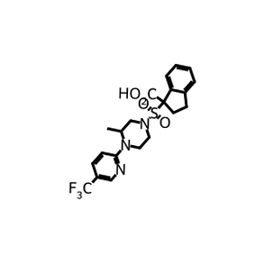 CC1CN(S(=O)(=O)C2(C(=O)O)CCc3ccccc32)CCN1c1ccc(C(F)(F)F)cn1